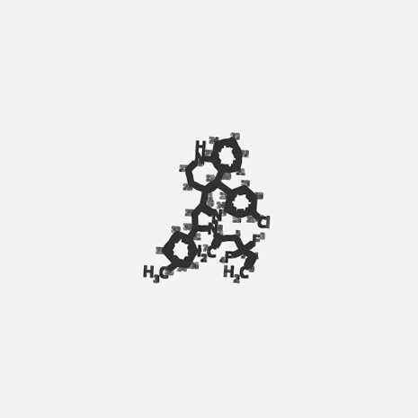 C=CC(F)(F)CC(=C)N1N=C(C2=C(c3ccc(Cl)cc3)c3ccccc3NCC2)CC1c1ccc(C)cc1